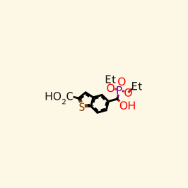 CCOP(=O)(OCC)C(O)c1ccc2sc(C(=O)O)cc2c1